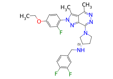 CCOc1ccc(-n2nc3c(N4CC[C@H](NCc5ccc(F)c(F)c5)C4)nnc(C)c3c2C)c(F)c1